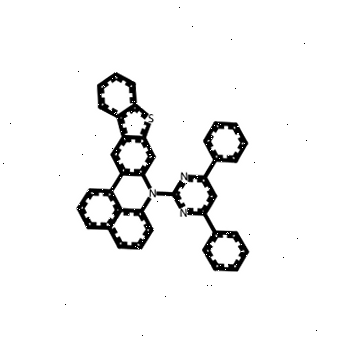 c1ccc(-c2cc(-c3ccccc3)nc(N3c4cc5sc6ccccc6c5cc4-c4cccc5cccc3c45)n2)cc1